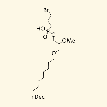 CCCCCCCCCCCCCCCCCCOCC(COP(=O)(O)CCCBr)OC